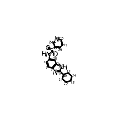 O=S(=O)(Nc1ccc2nc(C3CCCCC3)[nH]c2c1)c1cccnc1